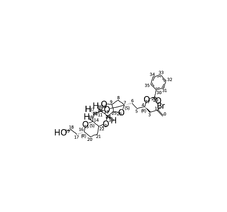 C=C(Br)C[C@@H](CC[C@@]12CC3O[C@H]4[C@@H](O1)[C@H]1O[C@@H](CCO)CCC1O[C@H]4C3O2)OC(=O)c1ccccc1